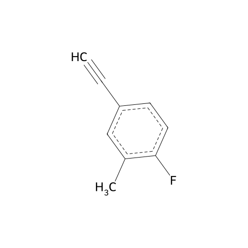 C#Cc1ccc(F)c(C)c1